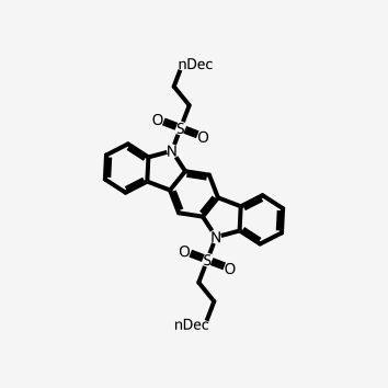 CCCCCCCCCCCCS(=O)(=O)n1c2ccccc2c2cc3c(cc21)c1ccccc1n3S(=O)(=O)CCCCCCCCCCCC